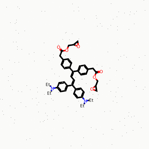 CCN(CC)c1ccc(C(=CC=C(c2ccc(CC(=O)OCC3CO3)cc2)c2ccc(CC(=O)OCC3CO3)cc2)c2ccc(N(CC)CC)cc2)cc1